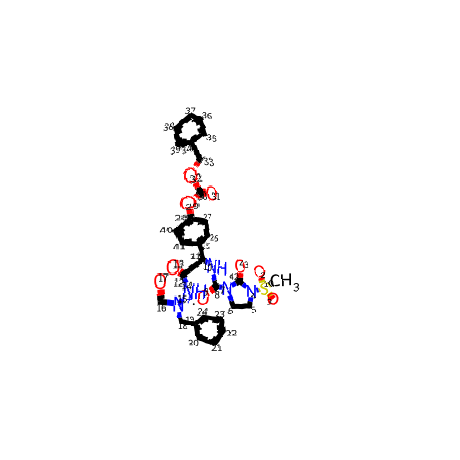 CS(=O)(=O)N1CCN(C(=O)NC(C(=O)N[N+](C=O)Cc2ccccc2)c2ccc(OC(=O)OCc3ccccc3)cc2)C1=O